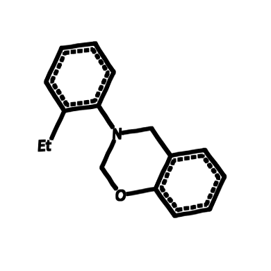 CCc1ccccc1N1COc2ccccc2C1